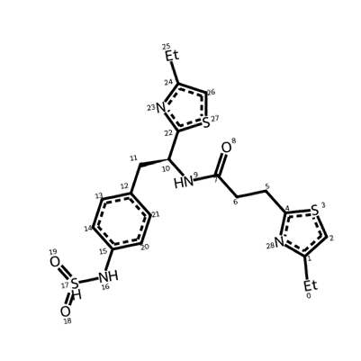 CCc1csc(CCC(=O)N[C@@H](Cc2ccc(N[SH](=O)=O)cc2)c2nc(CC)cs2)n1